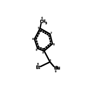 CCC(c1ccc(C)cc1)C(C)(C)C